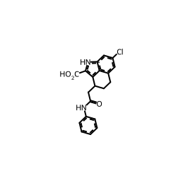 O=C(CC1CCc2cc(Cl)cc3[nH]c(C(=O)O)c1c23)Nc1ccccc1